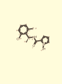 CC(C)n1cccc1C(=O)N[C@@H](C)c1c(F)cccc1Cl